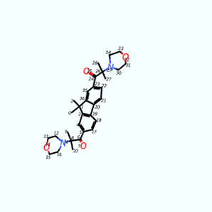 CC1(C)c2cc(C(=O)C(C)(C)N3CCOCC3)ccc2-c2ccc(C(=O)C(C)(C)N3CCOCC3)cc21